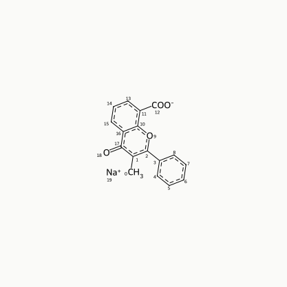 Cc1c(-c2ccccc2)oc2c(C(=O)[O-])cccc2c1=O.[Na+]